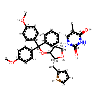 COc1ccc(C(OC2C[C@H](n3cc(C)c(=O)[nH]c3=O)O[C@@H]2Cc2cccs2)(c2ccccc2)c2ccc(OC)cc2)cc1